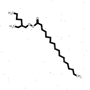 CCCCCCCCCCCCCCCCCC(=O)OOCC(CC)CCCC